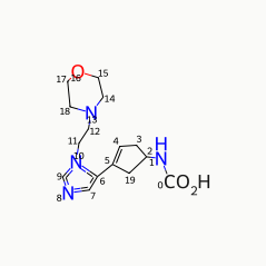 O=C(O)NC1CC=C(c2cncn2CCN2CCOCC2)C1